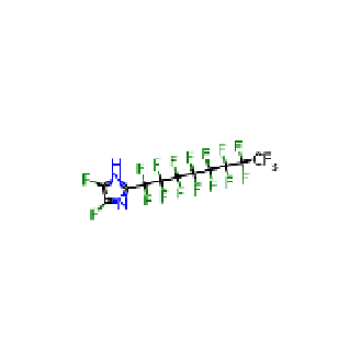 Fc1nc(C(F)(F)C(F)(F)C(F)(F)C(F)(F)C(F)(F)C(F)(F)C(F)(F)C(F)(F)F)[nH]c1F